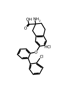 Cl.NC1(C(=O)O)CCc2ccc(Oc3ccccc3-c3ccccc3Cl)cc2C1